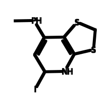 CPC1=CC(I)NC2=C1SCS2